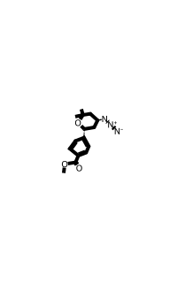 COC(=O)c1ccc([C@H]2C[C@@H](N=[N+]=[N-])CC(C)(C)O2)cc1